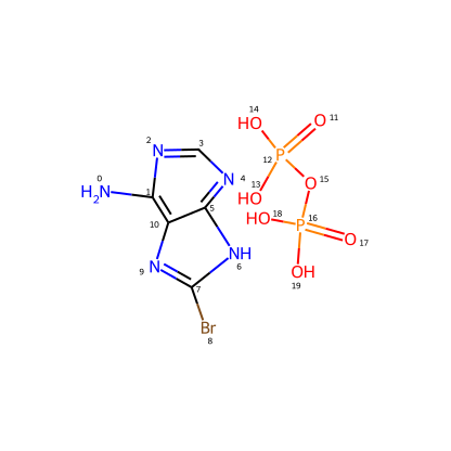 Nc1ncnc2[nH]c(Br)nc12.O=P(O)(O)OP(=O)(O)O